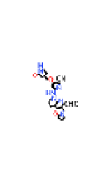 N#Cc1cnc(NCN2CCCc3cc(CN4CCCC4=O)c(C=O)nc32)cc1OCC1CCNC(=O)C1